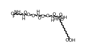 N[C@@H](CCCCNC(=O)COCCOCCNC(=O)COCCOCCNC(=O)CC[C@H](NC(=O)CCCCCCCCCCCCC(=O)O)C(=O)O)C(=O)F